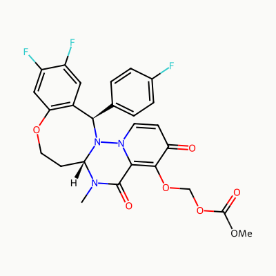 COC(=O)OCOc1c2n(ccc1=O)N1[C@H](c3ccc(F)cc3)c3cc(F)c(F)cc3OCC[C@H]1N(C)C2=O